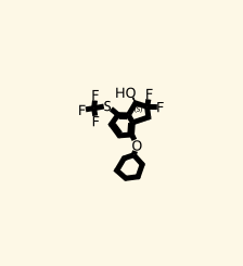 O[C@H]1c2c(SC(F)(F)F)ccc(OC3CCCCC3)c2CC1(F)F